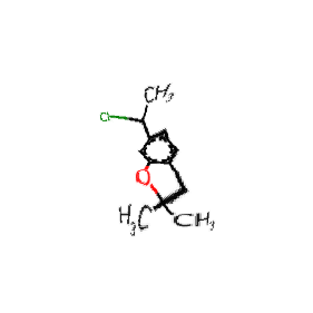 CC(Cl)c1ccc2c(c1)OC(C)(C)C2